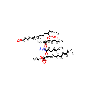 CCCCC(CC)C(=O)O.CCCCCC(C)=O.CCCCCC(N)=O.CCCCCC=O.CCCCCCCCCC(=O)OCC